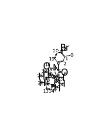 Cc1cc(N2C(=O)[C@@H]3[C@@H]4C=C[C@@H]([C@H]5C=C[C@H]54)[C@@H]3C2=O)ccc1Br